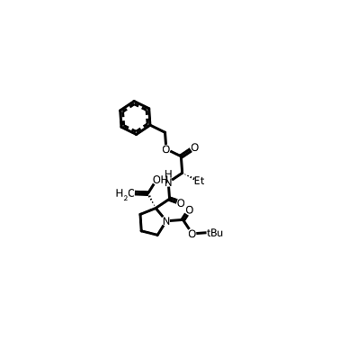 C=C(O)[C@@]1(C(=O)N[C@@H](CC)C(=O)OCc2ccccc2)CCCN1C(=O)OC(C)(C)C